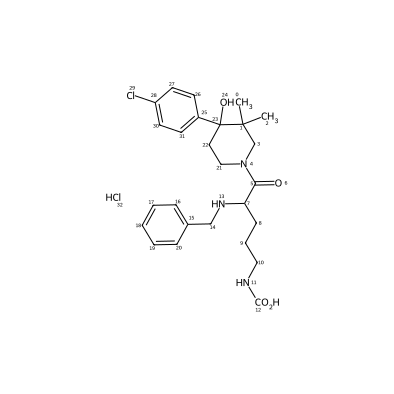 CC1(C)CN(C(=O)C(CCCNC(=O)O)NCc2ccccc2)CCC1(O)c1ccc(Cl)cc1.Cl